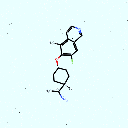 CC[C@]1([C@H](C)N)CC[C@@H](Oc2c(F)cc3cnccc3c2C)CC1